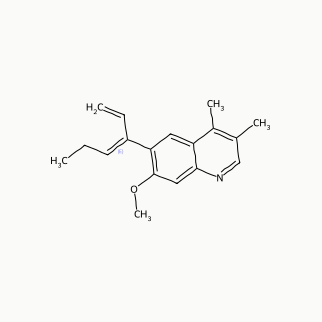 C=C/C(=C\CC)c1cc2c(C)c(C)cnc2cc1OC